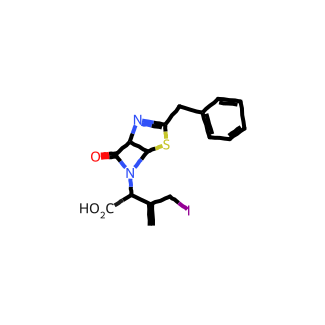 C=C(CI)C(C(=O)O)N1C(=O)C2N=C(Cc3ccccc3)SC21